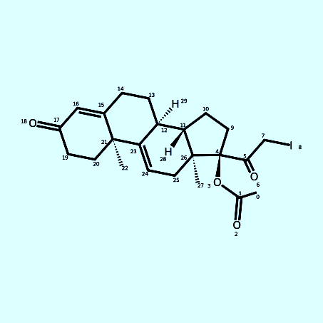 CC(=O)O[C@]1(C(=O)CI)CC[C@H]2[C@@H]3CCC4=CC(=O)CC[C@]4(C)C3=CC[C@@]21C